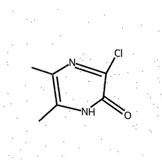 Cc1nc(Cl)c(=O)[nH]c1C